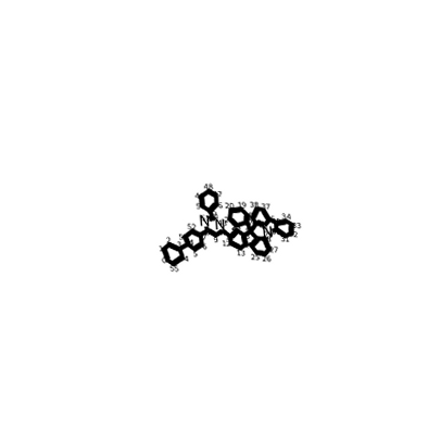 c1ccc(-c2ccc(-c3cc(-c4cccc(C5(c6ccccc6)c6ccccc6-n6c7ccccc7c7cccc5c76)c4)nc(-c4ccccc4)n3)cc2)cc1